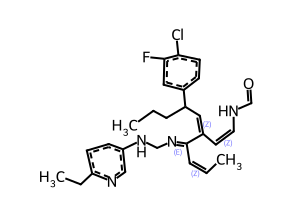 C\C=C/C(=N\CNc1ccc(CC)nc1)C(/C=C\NC=O)=C\C(CCC)c1ccc(Cl)c(F)c1